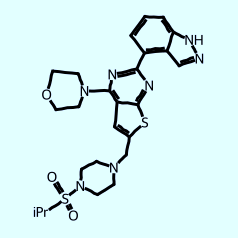 CC(C)S(=O)(=O)N1CCN(Cc2cc3c(N4CCOCC4)nc(-c4cccc5[nH]ncc45)nc3s2)CC1